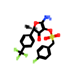 [2H][C@]1(c2ccc(C(F)(F)F)cc2)OC(N)=C(OS(=O)(=O)Cc2ccc(F)cc2)C1=O